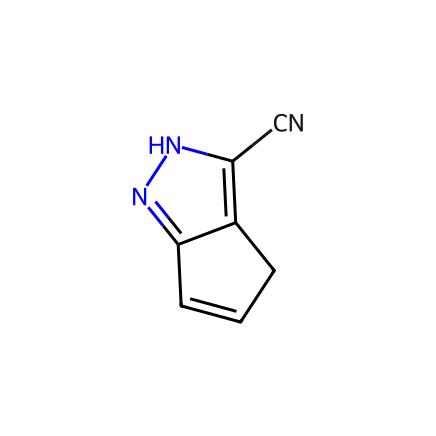 N#Cc1[nH]nc2c1CC=C2